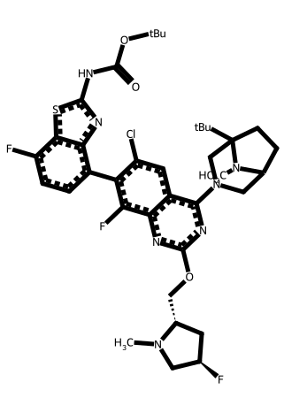 CN1C[C@H](F)C[C@H]1COc1nc(N2CC3CCC(C(C)(C)C)(C2)N3C(=O)O)c2cc(Cl)c(-c3ccc(F)c4sc(NC(=O)OC(C)(C)C)nc34)c(F)c2n1